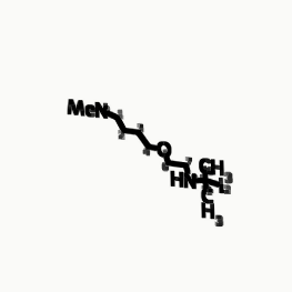 CNCCCCOCCNC(C)(C)I